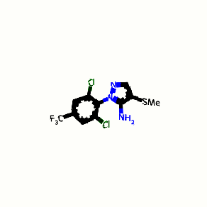 CSc1cnn(-c2c(Cl)cc(C(F)(F)F)cc2Cl)c1N